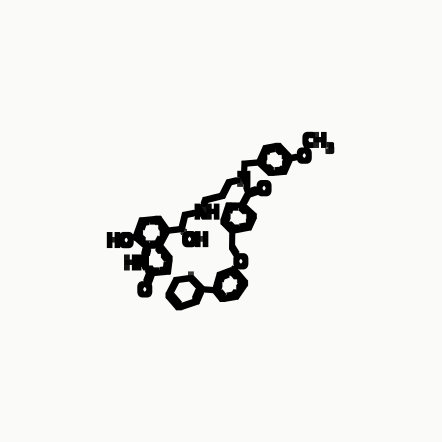 COc1ccc(CN(CCCNC[C@H](O)c2ccc(O)c3[nH]c(=O)ccc23)C(=O)c2ccc(COc3cccc(C4=CC=CC[CH]4)c3)cc2)cc1